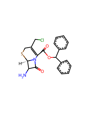 NC1C(=O)N2C(C(=O)OC(c3ccccc3)c3ccccc3)=C(CCl)CS[C@H]12